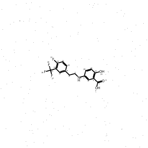 O=C(O)c1cc(NCCc2ccc(F)c(C(F)(F)F)c2)ccc1O